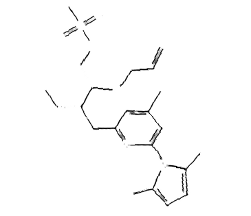 C=CCO[C@@H](COS(C)(=O)=O)[C@@H](CC)Cc1cc(C)cc(-n2c(C)ccc2C)n1